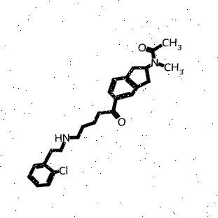 CC(=O)N(C)C1Cc2ccc(C(=O)CCCCNCCc3ccccc3Cl)cc2C1